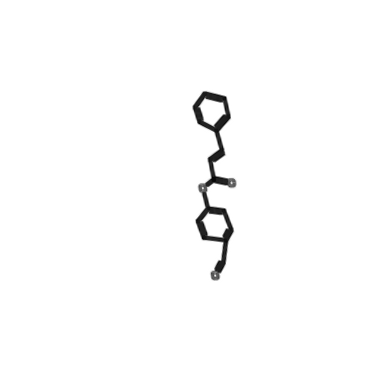 O=Cc1ccc(OC(=O)C=Cc2ccccc2)cc1